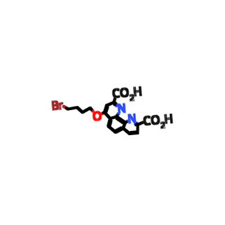 O=C(O)c1ccc2ccc3c(OCCCCBr)cc(C(=O)O)nc3c2n1